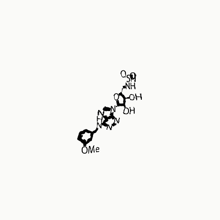 COc1cccc(CNc2ncnc3c2ncn3[C@@H]2O[C@H](CN[SH](=O)=O)[C@@H](O)[C@H]2O)c1